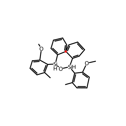 COc1cccc(C)c1[SiH](O[SiH](c1ccccc1)c1c(C)cccc1OC)c1ccccc1